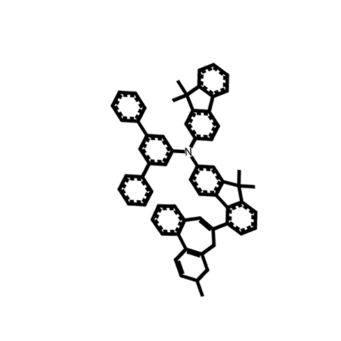 CC1C=CC2=C(CC(c3cccc4c3-c3ccc(N(c5cc(-c6ccccc6)cc(-c6ccccc6)c5)c5ccc6c(c5)C(C)(C)c5ccccc5-6)cc3C4(C)C)=Cc3ccccc32)C1